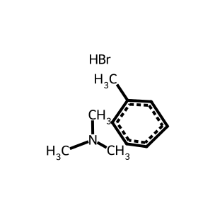 Br.CN(C)C.Cc1ccccc1